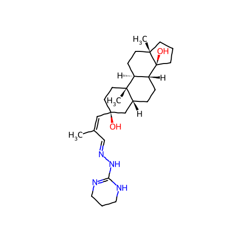 CC(C=NNC1=NCCCN1)=C[C@]1(O)CC[C@@]2(C)[C@H](CC[C@@H]3[C@@H]2CC[C@]2(C)CCC[C@]32O)C1